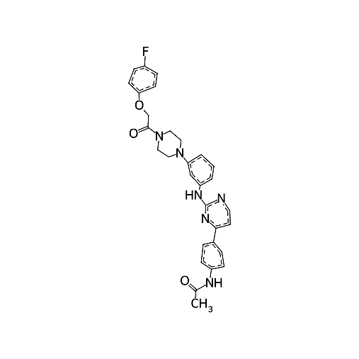 CC(=O)Nc1ccc(-c2ccnc(Nc3cccc(N4CCN(C(=O)COc5ccc(F)cc5)CC4)c3)n2)cc1